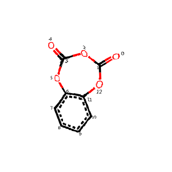 O=C1OC(=O)Oc2ccccc2O1